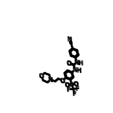 N#Cc1ccc(NC(=O)Nc2ccc(OCCN3CCOCC3)c(S(=O)(=O)C(F)(F)F)c2)cc1